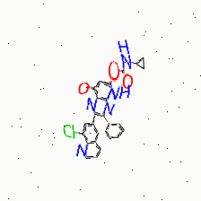 O=C(NC1CC1)Oc1cc(=O)c2nc(-c3cc(Cl)c4ncccc4c3)c(-c3ccccc3)nc2[nH]1